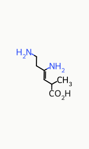 CC(C=C(N)CCN)C(=O)O